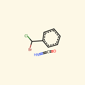 ClC(Br)c1ccccc1.N=C=O